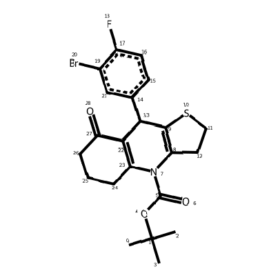 CC(C)(C)OC(=O)N1C2=C(SCC2)C(c2ccc(F)c(Br)c2)C2=C1CCCC2=O